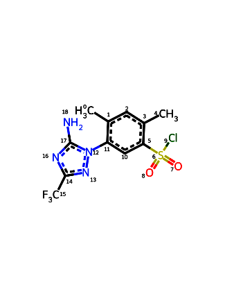 Cc1cc(C)c(S(=O)(=O)Cl)cc1-n1nc(C(F)(F)F)nc1N